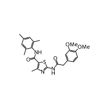 COc1ccc(CC(=O)Nc2nc(C)c(C(=O)Nc3c(C)cc(C)cc3C)s2)cc1OC